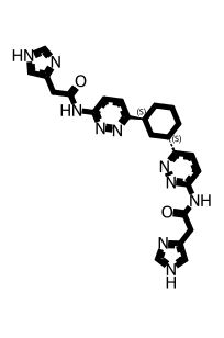 O=C(Cc1c[nH]cn1)Nc1ccc([C@H]2CCC[C@H](c3ccc(NC(=O)Cc4c[nH]cn4)nn3)C2)nn1